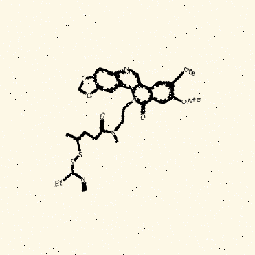 C=NC(CC)SSC(C)CCC(=O)N(C)CCn1c(=O)c2cc(OC)c(OC)cc2c2cnc3cc4c(cc3c21)OCO4